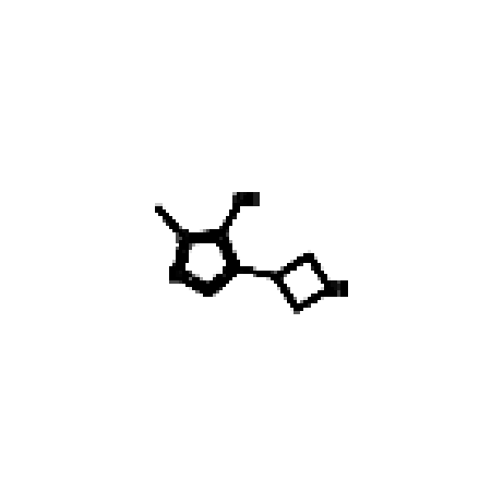 Cn1ncc(C2CNC2)c1O